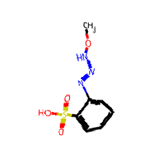 CON/N=N/c1ccccc1S(=O)(=O)O